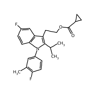 Cc1cc(-n2c(C(C)C)c(CCOC(=O)C3CC3)c3cc(F)ccc32)ccc1F